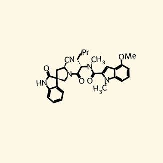 COc1cccc2c1cc(C(=O)N(C)[C@@H](CC(C)C)C(=O)N1C[C@]3(C[C@H]1C#N)C(=O)Nc1ccccc13)n2C